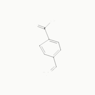 C=Cc1ccc(C(=O)C(F)(F)F)cc1